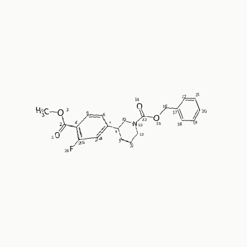 COC(=O)c1ccc(C2CCCN(C(=O)OCc3ccccc3)C2)cc1F